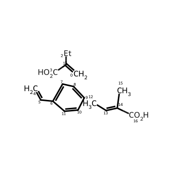 C=C(CC)C(=O)O.C=Cc1ccccc1.CC=C(C)C(=O)O